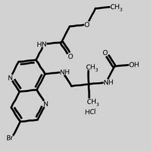 CCOCC(=O)Nc1cnc2cc(Br)cnc2c1NCC(C)(C)NC(=O)O.Cl